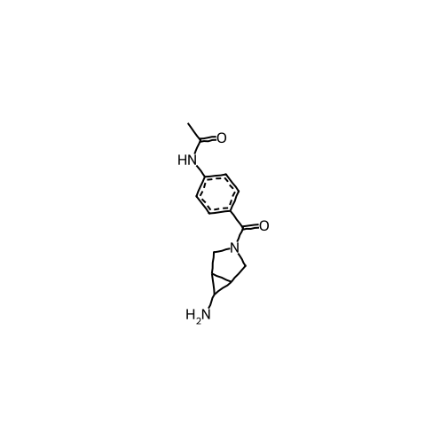 CC(=O)Nc1ccc(C(=O)N2CC3C(N)C3C2)cc1